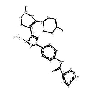 CCOC(=O)c1sc(-c2ccc(NC(=O)c3cscn3)cc2)cc1C1=C(C2CCC(C)CC2)CN(C)CC1